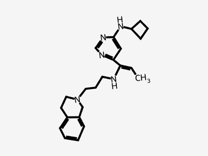 C/C=C(\NCCCN1CCc2ccccc2C1)c1cc(NC2CCC2)ncn1